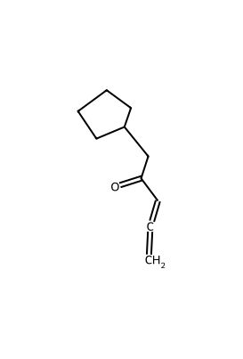 C=C=CC(=O)CC1CCCC1